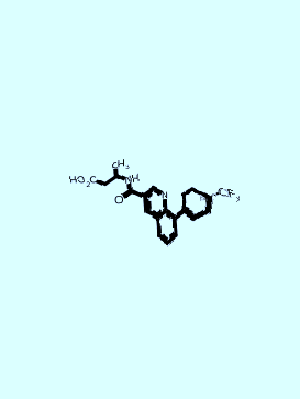 CC(CC(=O)O)NC(=O)c1cnc2c(C3=CC[C@@H](C(F)(F)F)CC3)cccc2c1